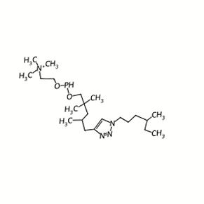 CCC(C)CCCn1cc(CC(C)CC(C)(C)COPOCC[N+](C)(C)C)nn1